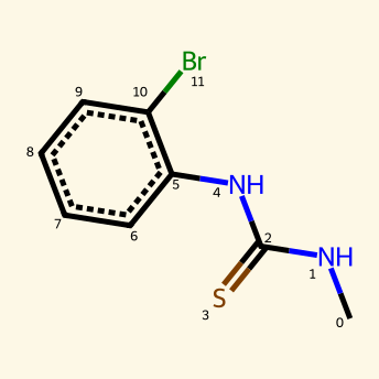 CNC(=S)Nc1ccccc1Br